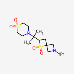 CC(C)N1CC2(CC(C(C)(C)N3CCS(=O)(=O)CC3)S2(=O)=O)C1